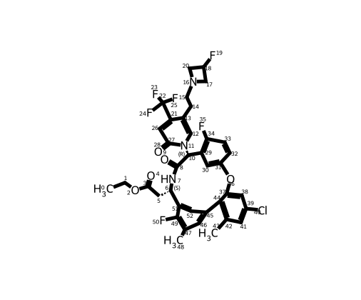 CCOC(=O)C[C@@H]1NC(=O)[C@H](n2cc(CCN3CC(F)C3)c(C(F)(F)F)cc2=O)c2cc(ccc2F)Oc2cc(Cl)cc(C)c2-c2cc(C)c(F)c1c2